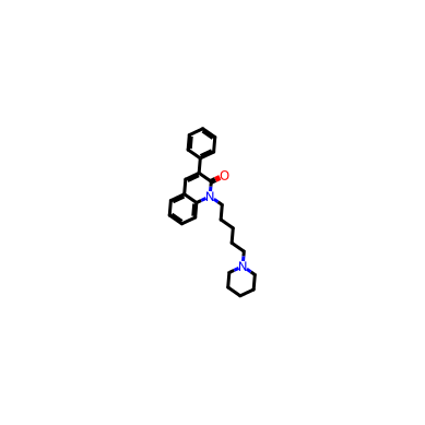 O=c1c(-c2ccccc2)cc2ccccc2n1CCCCCN1CCCCC1